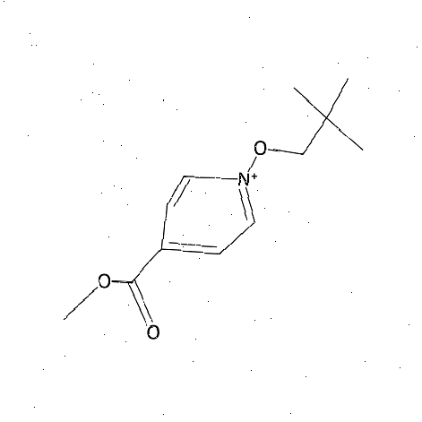 COC(=O)c1cc[n+](OCC(C)(C)C)cc1